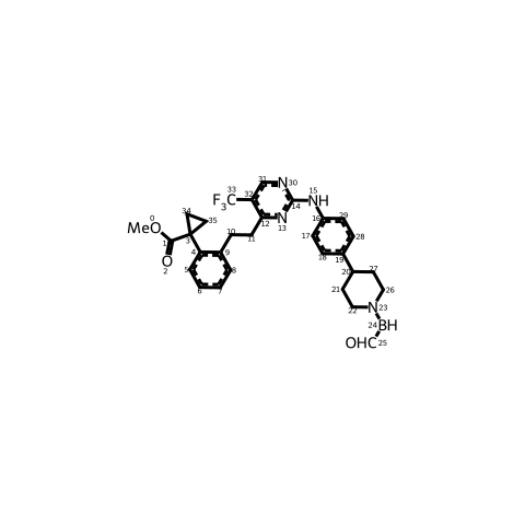 COC(=O)C1(c2ccccc2CCc2nc(Nc3ccc(C4CCN(BC=O)CC4)cc3)ncc2C(F)(F)F)CC1